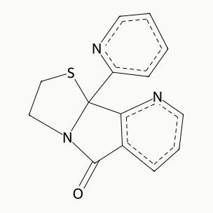 O=C1c2cccnc2C2(c3ccccn3)SCCN12